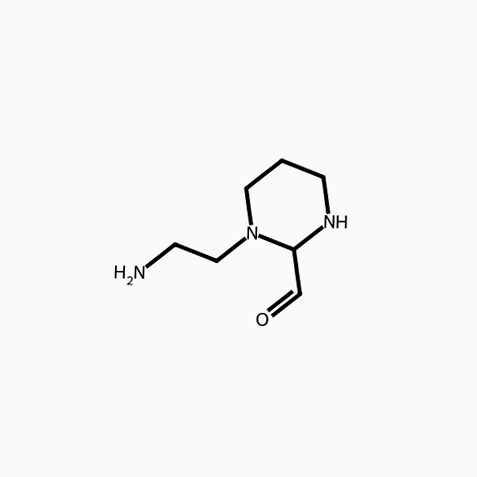 NCCN1CCCNC1C=O